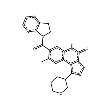 Cc1cc2c(cc1C(=O)N1CCc3cccnc31)[nH]c(=O)c1nnc(C3CCCOC3)n12